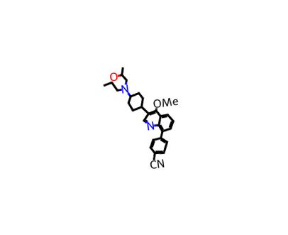 COc1c(C2CCC(N3CC(C)OC(C)C3)CC2)cnc2c(-c3ccc(C#N)cc3)cccc12